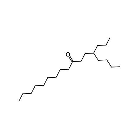 CCCCCCCCCC(=O)CCC(CCC)CCCC